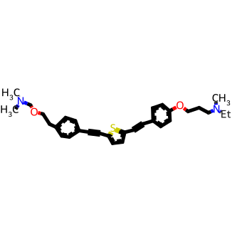 CCN(C)CCCOc1ccc(C#Cc2ccc(C#Cc3ccc(CCOCN(C)C)cc3)s2)cc1